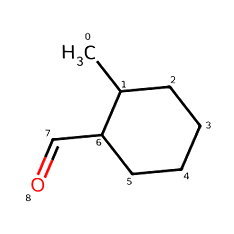 CC1CCCCC1C=O